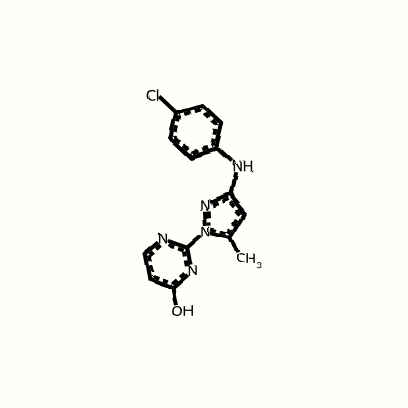 Cc1cc(Nc2ccc(Cl)cc2)nn1-c1nccc(O)n1